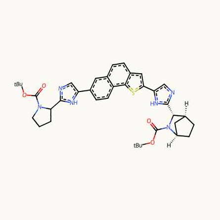 CC(C)(C)OC(=O)N1CCCC1c1ncc(-c2ccc3c(ccc4cc(-c5cnc([C@@H]6[C@H]7CC[C@H](C7)N6C(=O)OC(C)(C)C)[nH]5)sc43)c2)[nH]1